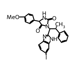 COc1ccc(C2NC(=O)N([C@H](c3nc4ccc(I)cc4[nH]3)[C@@H](C)c3ccccc3)C2=O)cc1